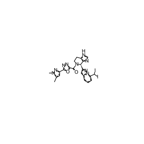 Cc1cc(-c2nnc(C(=O)N3CCc4[nH]cnc4[C@H]3c3cc4cccc(C(I)I)n4n3)o2)nn1C